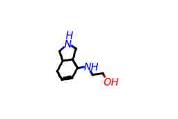 OCCNC1C=CCC2CNCC21